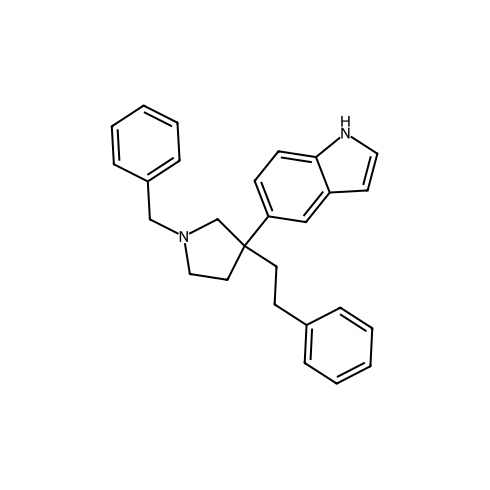 c1ccc(CCC2(c3ccc4[nH]ccc4c3)CCN(Cc3ccccc3)C2)cc1